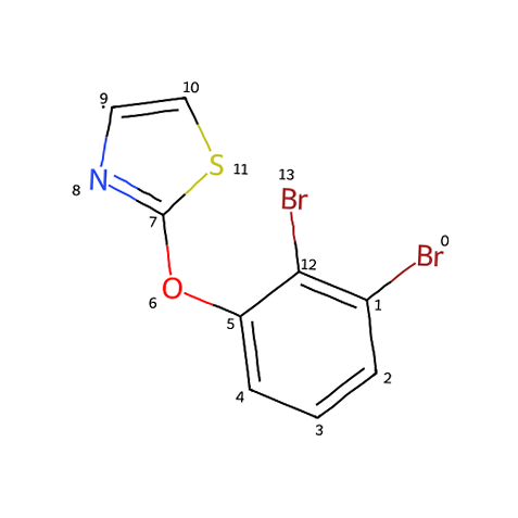 Brc1cccc(Oc2n[c]cs2)c1Br